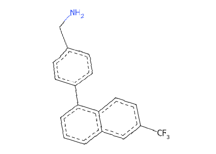 NCc1ccc(-c2cccc3cc(C(F)(F)F)ccc23)cc1